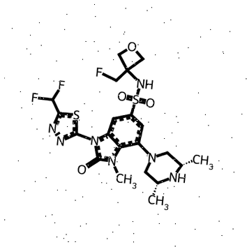 C[C@@H]1CN(c2cc(S(=O)(=O)NC3(CF)COC3)cc3c2n(C)c(=O)n3-c2nnc(C(F)F)s2)C[C@H](C)N1